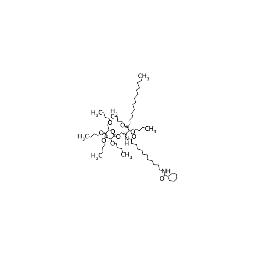 CCCCCCCCCCCCCC[C@@H](OCCCC)[C@@H](OCCCC)[C@H](CO[C@H]1OC(COCCCC)[C@H](OCCCC)[C@H](OCCCC)C1OCCCC)NC(=O)CCCCCCCCCCCNC(=O)C1CCCCC1